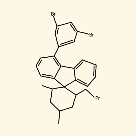 CC(C)CC1CC(C)CC(C)C12c1ccccc1-c1c(-c3cc(Br)cc(Br)c3)cccc12